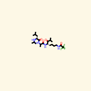 CC(C)C[C@H](NC(C)C)C(=O)NC(C)C(=O)N[C@@H](CCCCNC(=O)C(F)(F)F)C(=O)C(C)C